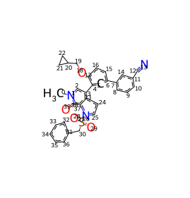 Cn1cc(-c2cc(-c3cccc(C#N)c3)ccc2OCC2CC2)c2ccn(S(=O)(=O)Cc3ccccc3)c2c1=O